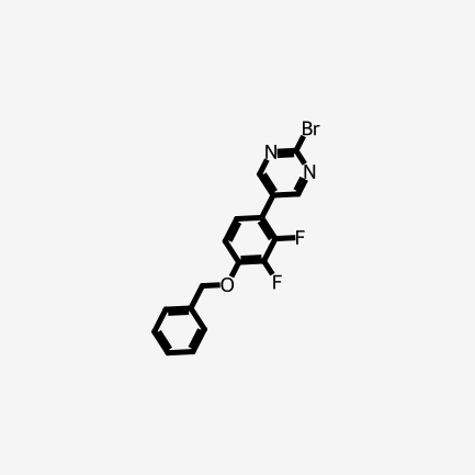 Fc1c(OCc2ccccc2)ccc(-c2cnc(Br)nc2)c1F